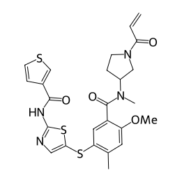 C=CC(=O)N1CCC(N(C)C(=O)c2cc(Sc3cnc(NC(=O)c4ccsc4)s3)c(C)cc2OC)C1